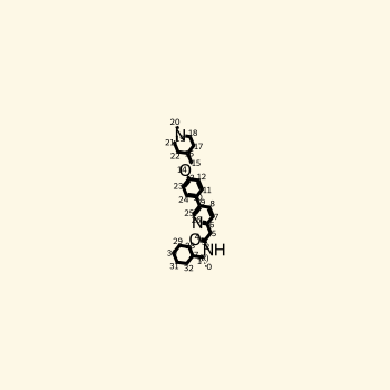 C[C@@H](NC(=O)Cc1ccc(-c2ccc(OCC3CCN(C)CC3)cc2)cn1)C1CCCCC1